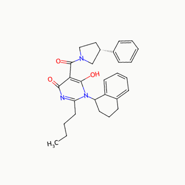 CCCCc1nc(=O)c(C(=O)N2CC[C@H](c3ccccc3)C2)c(O)n1C1CCCc2ccccc21